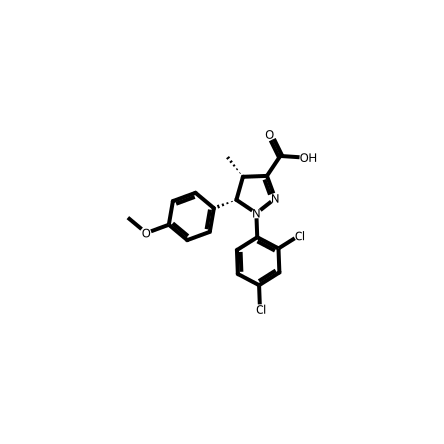 COc1ccc([C@@H]2[C@H](C)C(C(=O)O)=NN2c2ccc(Cl)cc2Cl)cc1